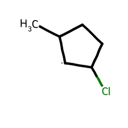 CC1[CH]C(Cl)CC1